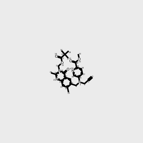 C#CCN(Cc1cc2c(=O)n(COC(=O)C(C)(C)C)c(C)nc2cc1C)c1ccc(C(=O)OC)nc1